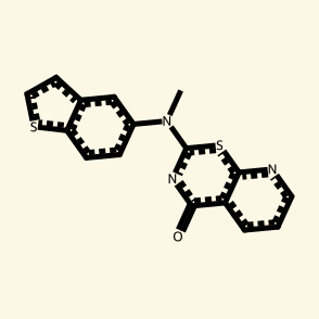 CN(c1ccc2sccc2c1)c1nc(=O)c2cccnc2s1